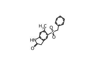 Cc1cc2c(cc1S(=O)(=O)Cc1ccccc1)CC(=O)N2